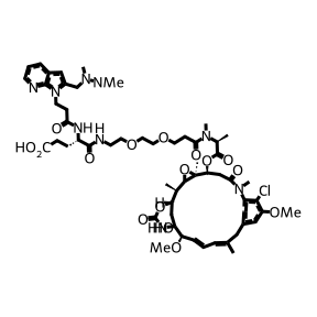 CNN(C)Cc1cc2cccnc2n1CCC(=O)N[C@@H](CCC(=O)O)C(=O)NCCOCCOCCC(=O)N(C)[C@@H](C)C(=O)O[C@H]1CC(=O)N(C)c2cc(cc(OC)c2Cl)C/C(C)=C/C=C/[C@@H](OC)[C@@]2(O)C[C@H](OC(=O)N2)[C@@H](C)C2O[C@]21C